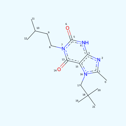 Cc1nc2[nH]c(=O)n(CCC(C)C)c(=O)c2n1CC(C)(C)C